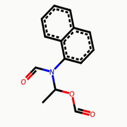 CC(OC=O)N(C=O)c1cccc2ccccc12